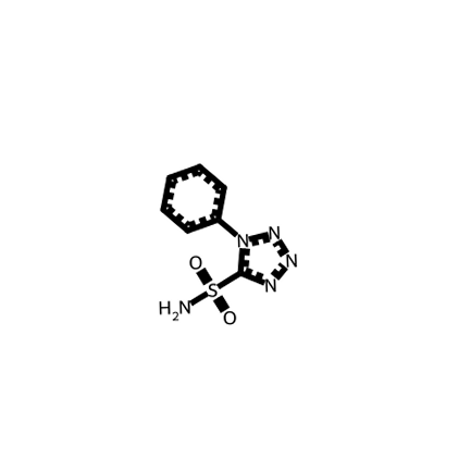 NS(=O)(=O)c1nnnn1-c1ccccc1